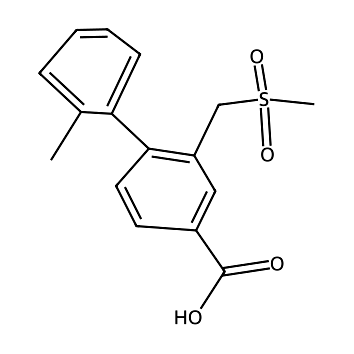 Cc1ccccc1-c1ccc(C(=O)O)cc1CS(C)(=O)=O